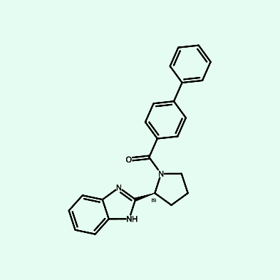 O=C(c1ccc(-c2ccccc2)cc1)N1CCC[C@H]1c1nc2ccccc2[nH]1